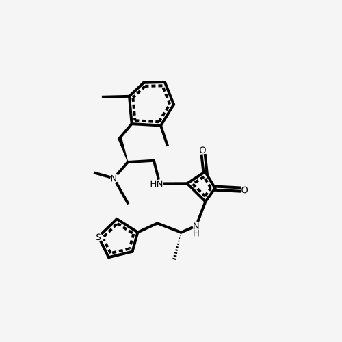 Cc1cccc(C)c1C[C@@H](CNc1c(N[C@H](C)Cc2ccsc2)c(=O)c1=O)N(C)C